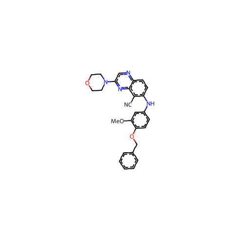 COc1cc(Nc2ccc3ncc(N4CCOCC4)nc3c2C#N)ccc1OCc1ccccc1